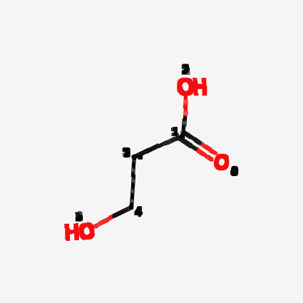 O=C(O)[CH]CO